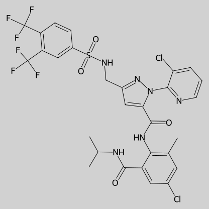 Cc1cc(Cl)cc(C(=O)NC(C)C)c1NC(=O)c1cc(CNS(=O)(=O)c2ccc(C(F)(F)F)c(C(F)(F)F)c2)nn1-c1ncccc1Cl